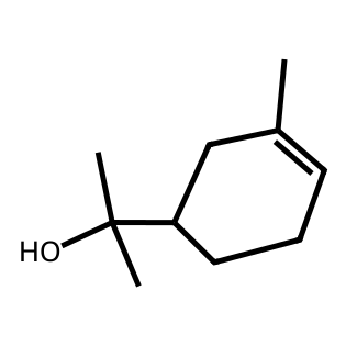 CC1=CCCC(C(C)(C)O)C1